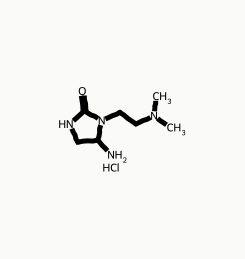 CN(C)CCN1C(=O)NCC1N.Cl